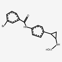 CCCCCCCCNC1CC1c1ccc(NC(=O)c2cccc(Br)c2)cc1